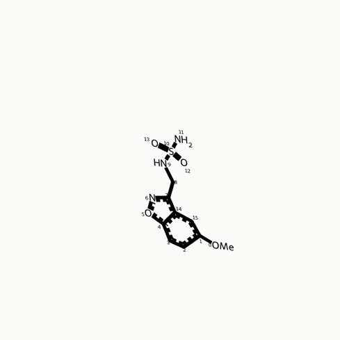 COc1ccc2onc(CNS(N)(=O)=O)c2c1